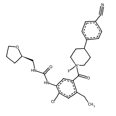 CCc1cc(Cl)c(NC(=O)NC[C@H]2CCCO2)cc1C(=O)[N+]1(F)CCC(c2ccc(C#N)cc2)CC1